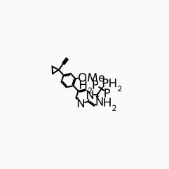 C#CC1(c2ccc(-c3cnc4cnc(C(P)(P)P)n4c3)c(OC)c2)CC1